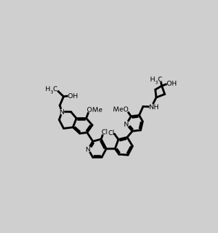 COc1cc(-c2nccc(-c3cccc(-c4ccc(CNC5CC(C)(O)C5)c(OC)n4)c3Cl)c2Cl)cc2c1CN(CC(C)O)CC2